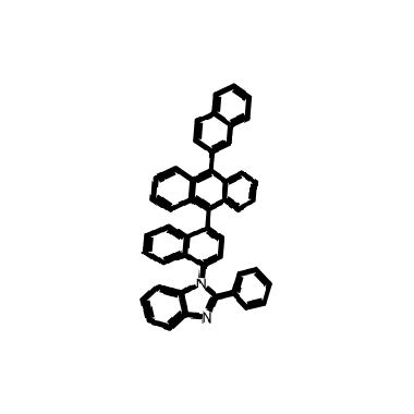 c1ccc(-c2nc3ccccc3n2-c2ccc(-c3c4ccccc4c(-c4ccc5ccccc5c4)c4ccccc34)c3ccccc23)cc1